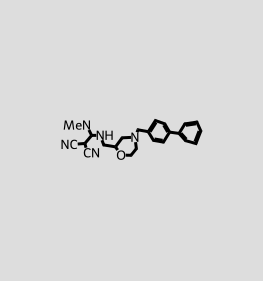 CNC(NCC1CN(Cc2ccc(-c3ccccc3)cc2)CCO1)C(C#N)C#N